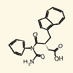 NC(=O)N(C(=O)[C@@H](CC(=O)O)Cc1ccc2cccccc1-2)c1ccccc1